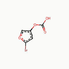 O=C(O)Oc1coc(Br)c1